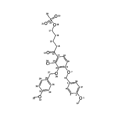 COc1ccc(COc2ccc(C(=O)CCCCOS(C)(=O)=O)c(Cl)c2OCc2ccc(OC)cc2)cc1